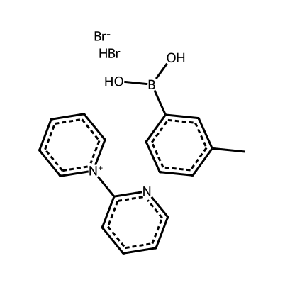 Br.Cc1cccc(B(O)O)c1.[Br-].c1cc[n+](-c2ccccn2)cc1